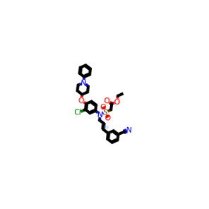 CCOC(=O)CS(=O)(=O)N(C/C=C/c1cccc(C#N)c1)c1ccc(OC2CCN(c3ccccc3)CC2)c(Cl)c1